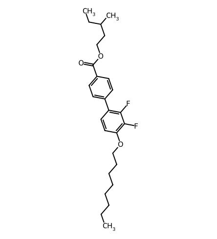 CCCCCCCCOc1ccc(-c2ccc(C(=O)OCCC(C)CC)cc2)c(F)c1F